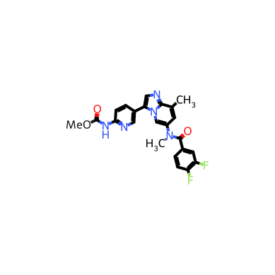 COC(=O)Nc1ccc(-c2cnc3c(C)cc(N(C)C(=O)c4ccc(F)c(F)c4)cn23)cn1